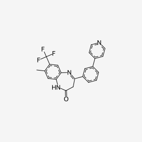 Cc1cc2c(cc1C(F)(F)F)N=C(c1cccc(-c3ccncc3)c1)CC(=O)N2